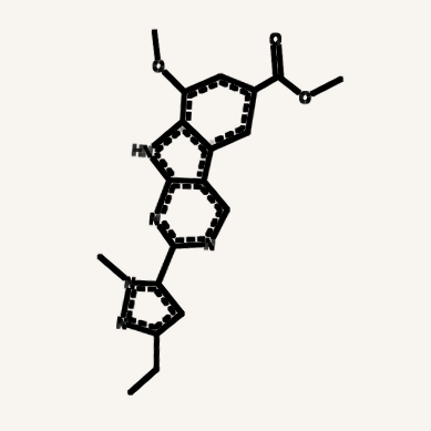 CCc1cc(-c2ncc3c(n2)[nH]c2c(OC)cc(C(=O)OC)cc23)n(C)n1